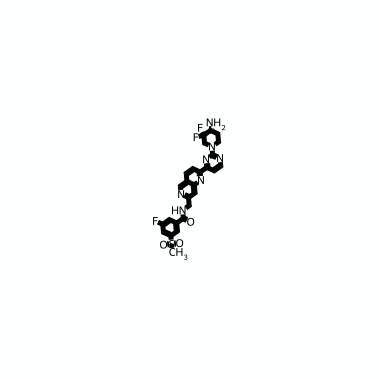 CS(=O)(=O)c1cc(F)cc(C(=O)NCc2cc3nc(-c4ccnc(N5CC[C@H](N)C(F)(F)C5)n4)ccc3cn2)c1